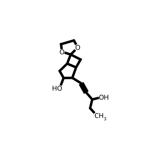 CCC(O)C#CC1C(O)CC2C1CC21OCCO1